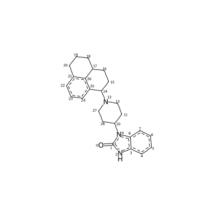 O=c1[nH]c2ccccc2n1C1CCN(C2CCC3CCCc4cccc2c43)CC1